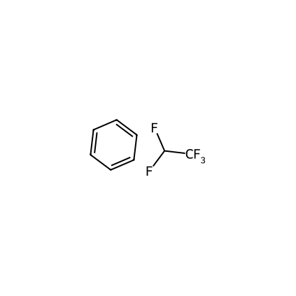 FC(F)C(F)(F)F.c1ccccc1